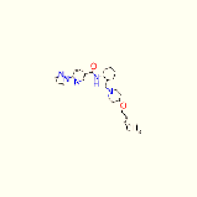 C/C=C/COC1CCN(C[C@@H]2CCCC[C@H]2NC(=O)c2ccc(-n3cccn3)nc2)CC1